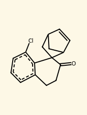 O=C1CCc2cccc(Cl)c2C12CC1C=CC2C1